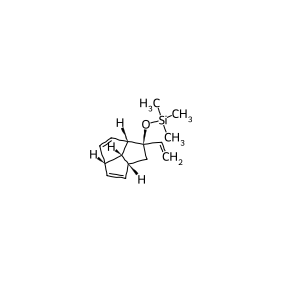 C=C[C@]1(O[Si](C)(C)C)C[C@@H]2C=C[C@@H]3C=C[C@H]1[C@@H]32